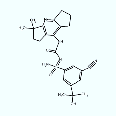 CC(C)(O)c1cc(C#N)cc(S(N)(=O)=NC(=O)Nc2c3c(nc4c2CCC4(C)C)CCC3)c1